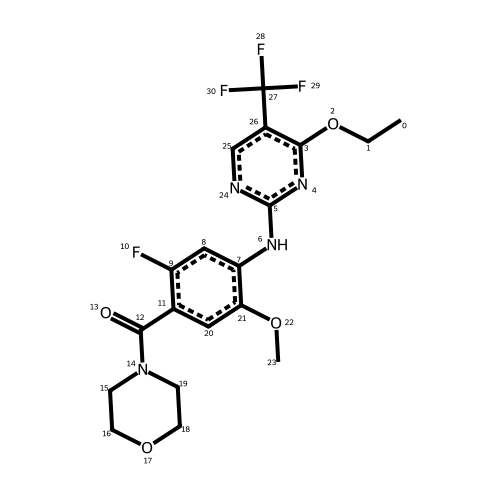 CCOc1nc(Nc2cc(F)c(C(=O)N3CCOCC3)cc2OC)ncc1C(F)(F)F